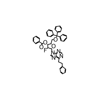 O=C(OC1C(COC(c2ccccc2)(c2ccccc2)c2ccccc2)OC(n2cnc3c(CCc4ccccc4)ncnc32)C1F)c1ccccc1